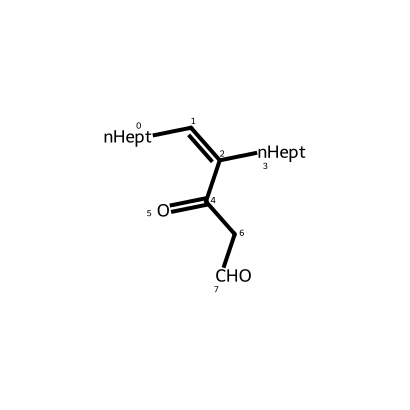 CCCCCCCC=C(CCCCCCC)C(=O)CC=O